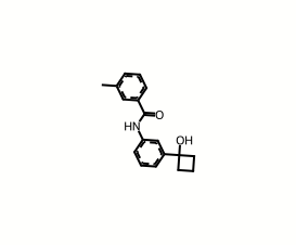 Cc1cccc(C(=O)Nc2cccc(C3(O)CCC3)c2)c1